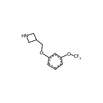 FC(F)(F)Oc1cccc(OCC2CNC2)c1